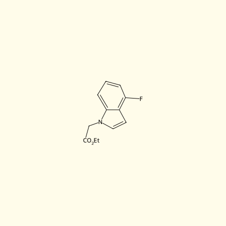 CCOC(=O)Cn1ccc2c(F)cccc21